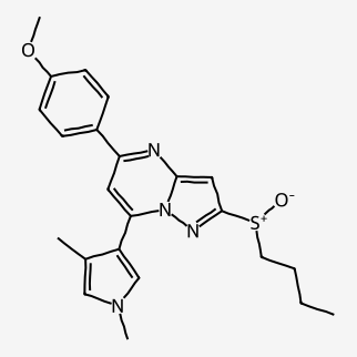 CCCC[S+]([O-])c1cc2nc(-c3ccc(OC)cc3)cc(-c3cn(C)cc3C)n2n1